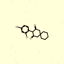 O=C1CC2(CCCCC2)CC(=O)C1c1ccc(Cl)cc1Cl